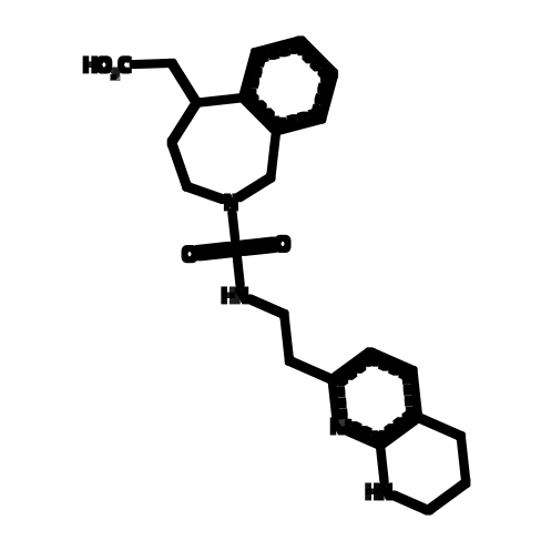 O=C(O)CC1CCN(S(=O)(=O)NCCc2ccc3c(n2)NCCC3)Cc2ccccc21